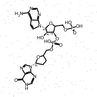 Nc1ncnc2c1ccn2[C@@H]1OC(COP(=O)(O)O)[C@@H](OP(=O)(O)OCC2CC[C@H](n3cnc4c(=O)[nH]cnc43)O2)[C@H]1O